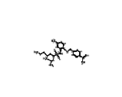 CCCCCC(CC(C)C)S(=O)(=O)Nc1cc(C)ccc1OCc1ccc(C(=O)O)cc1